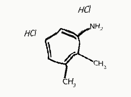 Cc1cccc(N)c1C.Cl.Cl